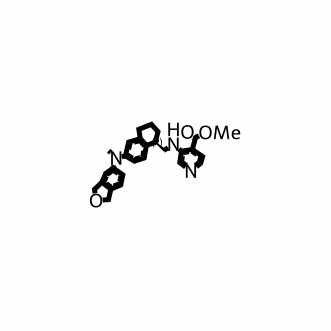 COC(=O)c1ccncc1NC[C@@H]1CCCc2cc(N(C)c3ccc4c(c3)COC4)ccc21